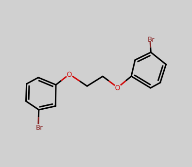 Brc1cccc(OCCOc2cccc(Br)c2)c1